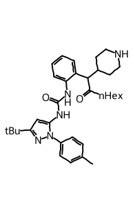 CCCCCCC(=O)C(c1ccccc1NC(=O)Nc1cc(C(C)(C)C)nn1-c1ccc(C)cc1)C1CCNCC1